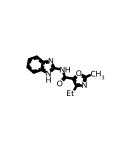 CCc1nc(C)oc1C(=O)Nc1nc2ccccc2[nH]1